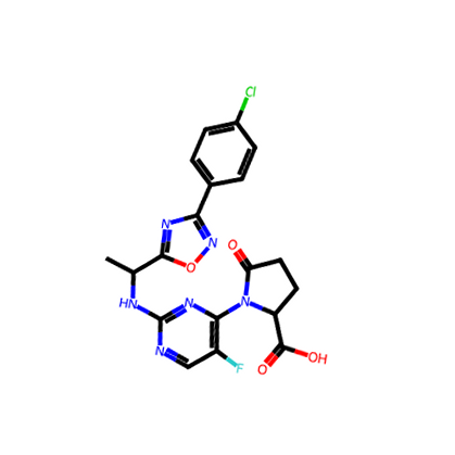 CC(Nc1ncc(F)c(N2C(=O)CCC2C(=O)O)n1)c1nc(-c2ccc(Cl)cc2)no1